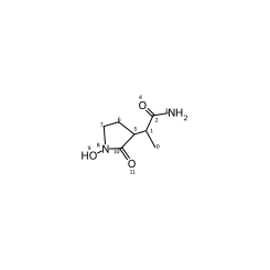 CC(C(N)=O)C1CCN(O)C1=O